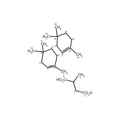 CC(CC(=O)O)C(=O)O.CC1=CCC(C)(C)CC1.CC1=CCC(C)(C)CC1